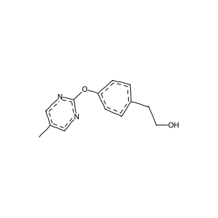 Cc1cnc(Oc2ccc(CCO)cc2)nc1